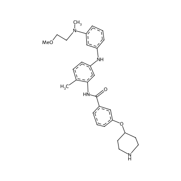 COCCN(C)c1cccc(Nc2ccc(C)c(NC(=O)c3cccc(OC4CCNCC4)c3)c2)c1